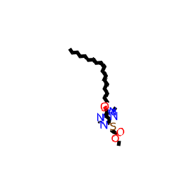 CCCCCCCC/C=C\CCCCCCCCOc1c2ncnc(SCC(=O)OCC)c2nn1C